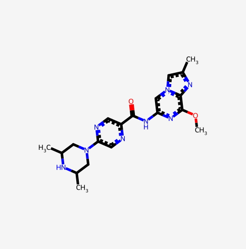 COc1nc(NC(=O)c2cnc(N3CC(C)NC(C)C3)cn2)cn2cc(C)nc12